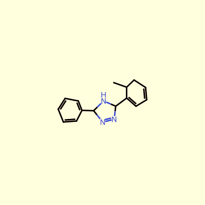 CC1CC=CC=C1C1N=NC(c2ccccc2)N1